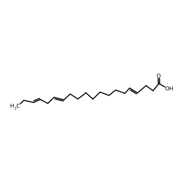 CCC=CCC=CCCCCCCCCC=CCCC(=O)O